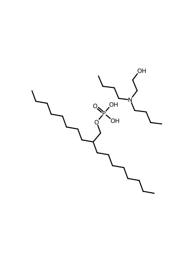 CCCCCCCCC(CCCCCCCC)COP(=O)(O)O.CCCCN(CCO)CCCC